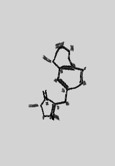 c1cc2c(cc1CC1=NCCN1)CCC2